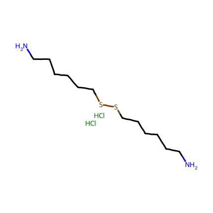 Cl.Cl.NCCCCCCSSCCCCCCN